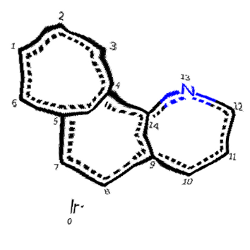 [Ir].c1ccc2c(c1)ccc1cccnc12